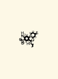 CCNC(=O)c1cc([N+](=O)[O-])c(N)cc1N1CCC(F)CC1